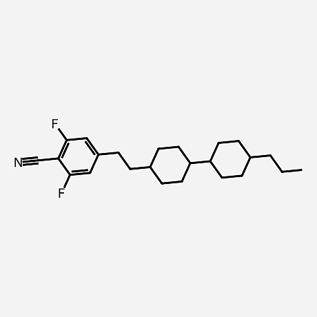 CCCC1CCC(C2CCC(CCc3cc(F)c(C#N)c(F)c3)CC2)CC1